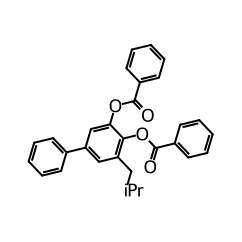 CC(C)Cc1cc(-c2ccccc2)cc(OC(=O)c2ccccc2)c1OC(=O)c1ccccc1